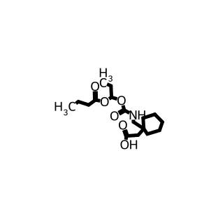 CCCC(=O)OC(CC)OC(=O)NCC1(CC(=O)O)CCCCC1